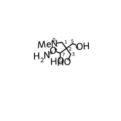 CNCC(CO)(CO)C(O)ON